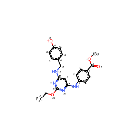 CC(C)(C)OC(=O)c1ccc(Nc2cc(NCc3ccc(O)cc3)nc(OCC(F)(F)F)n2)cc1